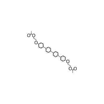 CC(=O)OCCOc1ccc(-c2ccc(-c3ccc(-c4ccc(OCCOC(C)=O)cc4)cc3)cc2)cc1